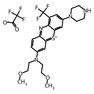 COCCN(CCOC)c1ccc2nc3c(C(F)(F)F)cc(N4CCNCC4)cc3[s+]c2c1.O=C([O-])C(F)(F)F